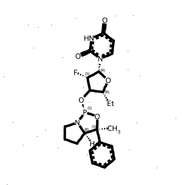 CC[C@H]1O[C@@H](n2ccc(=O)[nH]c2=O)[C@@H](F)C1O[P@]1O[C@@](C)(c2ccccc2)[C@H]2CCCN21